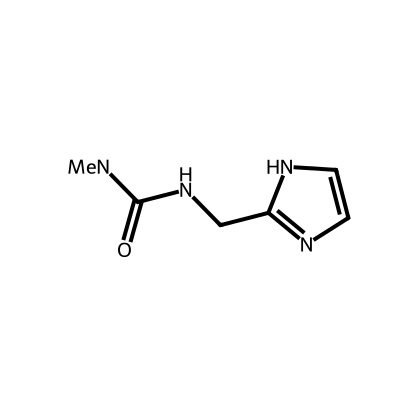 CNC(=O)NCc1ncc[nH]1